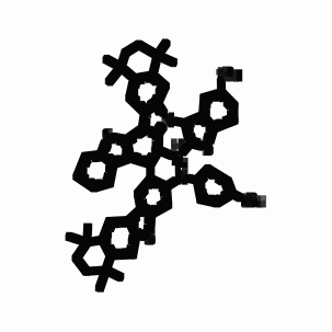 CC(C)(C)c1ccc(Nc2cc3sc4cc5c(cc4c3cc2-c2c3c4c(c6cc7c(cc6n4-c4c(sc6ccc(C(C)(C)C)cc46)B3)C(C)(C)CCC7(C)C)c3sc4ccccc4c23)C(C)(C)CCC5(C)C)cc1